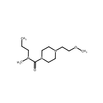 CCCN(C)C(=O)N1CCN(CCOC)CC1